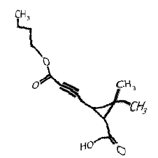 CCCCOC(=O)C#CC1C(C(=O)O)C1(C)C